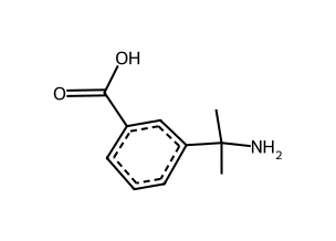 CC(C)(N)c1cccc(C(=O)O)c1